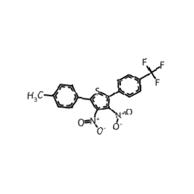 Cc1ccc(-c2sc(-c3ccc(C(F)(F)F)cc3)c([N+](=O)[O-])c2[N+](=O)[O-])cc1